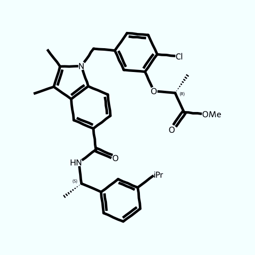 COC(=O)[C@@H](C)Oc1cc(Cn2c(C)c(C)c3cc(C(=O)N[C@@H](C)c4cccc(C(C)C)c4)ccc32)ccc1Cl